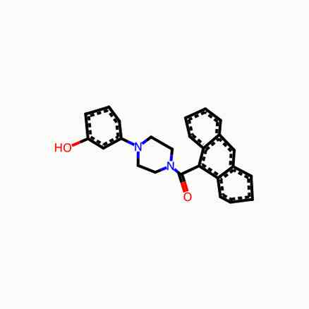 O=C(c1c2ccccc2cc2ccccc12)N1CCN(c2cccc(O)c2)CC1